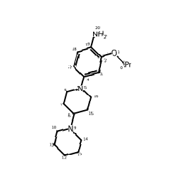 CC(C)Oc1cc(N2CCC(N3CCCCC3)CC2)ccc1N